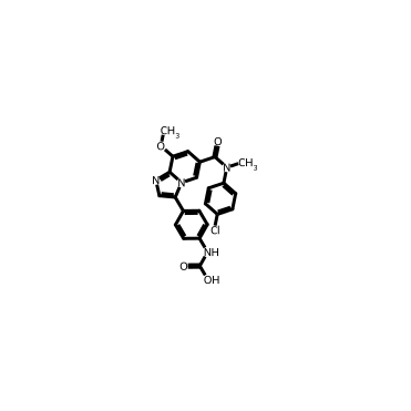 COc1cc(C(=O)N(C)c2ccc(Cl)cc2)cn2c(-c3ccc(NC(=O)O)cc3)cnc12